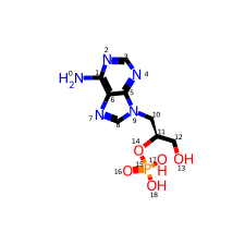 Nc1ncnc2c1ncn2C[C@@H](CO)OP(=O)(O)O